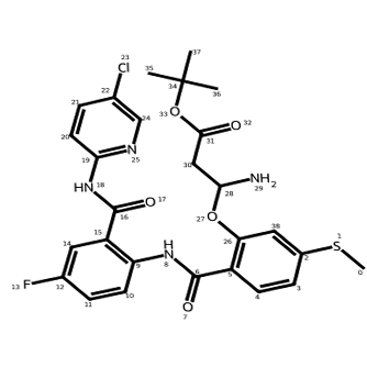 CSc1ccc(C(=O)Nc2ccc(F)cc2C(=O)Nc2ccc(Cl)cn2)c(OC(N)CC(=O)OC(C)(C)C)c1